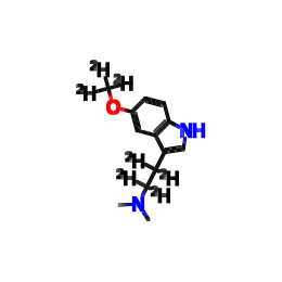 [2H]C([2H])([2H])Oc1ccc2[nH]cc(C([2H])([2H])C([2H])([2H])N(C)C)c2c1